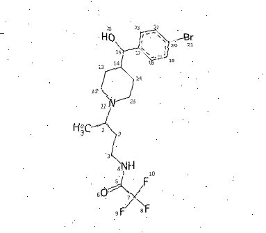 CC(CCNC(=O)C(F)(F)F)N1CCC(C(O)c2ccc(Br)cc2)CC1